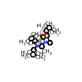 Cc1cc2c3c(c1)N(c1ccccc1-c1ccccc1)c1cc4c(cc1B3c1cc3c(cc1N2c1ccc2c(c1)C(C)(C)CCC2(C)C)C(C)(C)CCC3(C)C)oc1cc2c(cc14)C(C)(C)CCC2(C)C